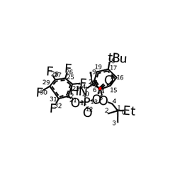 CCC(C)(C)COC(=O)[C@H](C)NP(=O)(Oc1ccc(C(C)(C)C)cc1)Oc1c(F)c(F)c(F)c(F)c1F